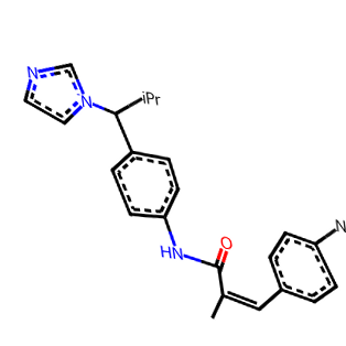 CC(=Cc1ccc([N+](=O)[O-])cc1)C(=O)Nc1ccc(C(C(C)C)n2ccnc2)cc1